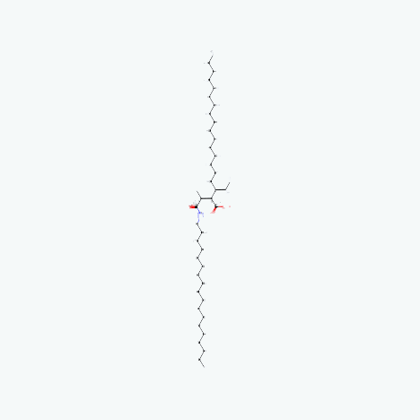 CCCCCCCCCCCCCCCCCCNC(=O)C(C)C(C(=O)O)C(CC)CCCCCCCCCCCCCCCC